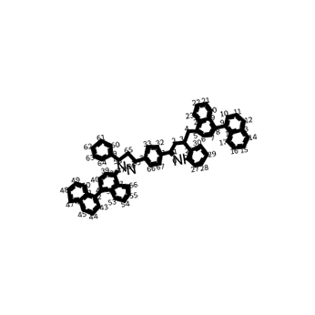 N=C(CC(Cc1ccc(-c2cccc3ccccc23)c2ccccc12)c1ccccc1)c1ccc(C2=NN(c3ccc(-c4cccc5ccccc45)c4ccccc34)C(c3ccccc3)C2)cc1